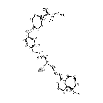 CCCCCCCCNC(=O)N1CCC(Nc2ccc(CCNC[C@H](O)CON=C3CCCc4c(O)cccc43)cc2)CC1